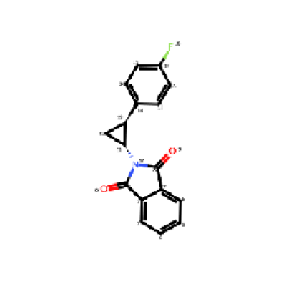 O=C1c2ccccc2C(=O)N1[C@@H]1C[C@H]1c1ccc(F)cc1